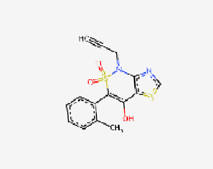 C#CCN1c2ncsc2C(O)=C(c2ccccc2C)S1(=O)=O